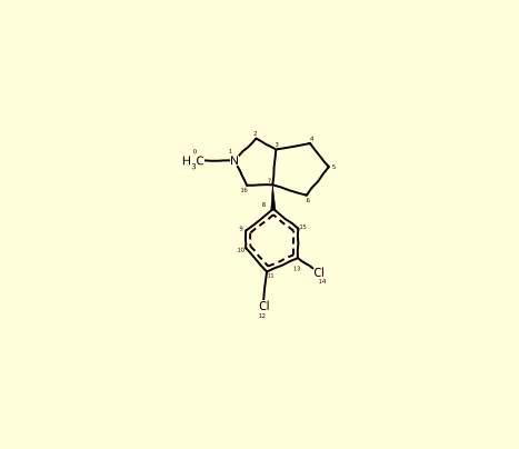 CN1CC2CCC[C@]2(c2ccc(Cl)c(Cl)c2)C1